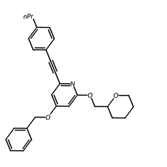 CCCc1ccc(C#Cc2cc(OCc3ccccc3)cc(OCC3CCCCO3)n2)cc1